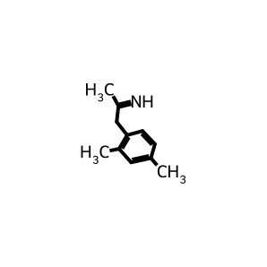 CC(=N)Cc1ccc(C)cc1C